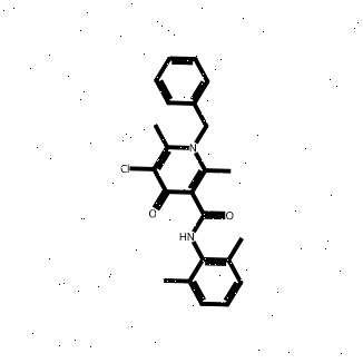 Cc1cccc(C)c1NC(=O)c1c(C)n(Cc2ccccc2)c(C)c(Cl)c1=O